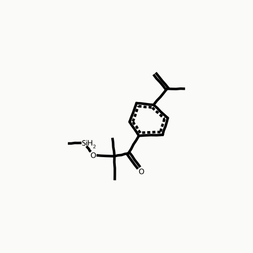 C=C(C)c1ccc(C(=O)C(C)(C)O[SiH2]C)cc1